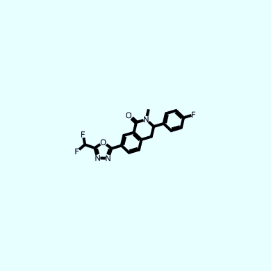 CN1C(=O)c2cc(-c3nnc(C(F)F)o3)ccc2CC1c1ccc(F)cc1